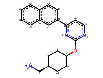 NC[C@H]1CC[C@@H](Oc2nccc(-c3ccc4ccccc4c3)n2)CC1